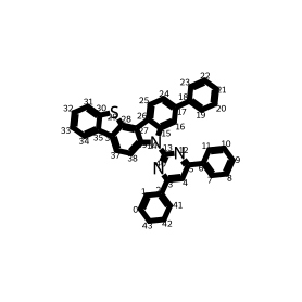 C1=CC(c2cc(-c3ccccc3)nc(-n3c4cc(-c5ccccc5)ccc4c4c5sc6ccccc6c5ccc43)n2)=CCC1